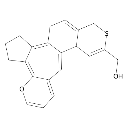 OCC1=CC2C(=CCC3=C4CCCC4=C4OC=CC=C4C=C32)CS1